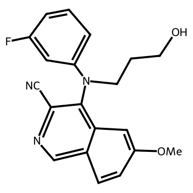 COc1ccc2cnc(C#N)c(N(CCCO)c3cccc(F)c3)c2c1